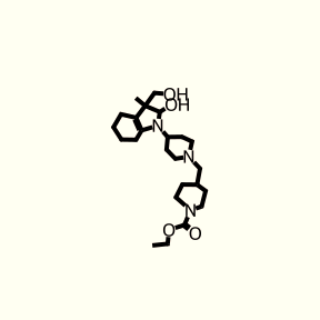 CCOC(=O)N1CCC(CN2CCC(N3C4=C(CCCC4)C(C)(CO)C3O)CC2)CC1